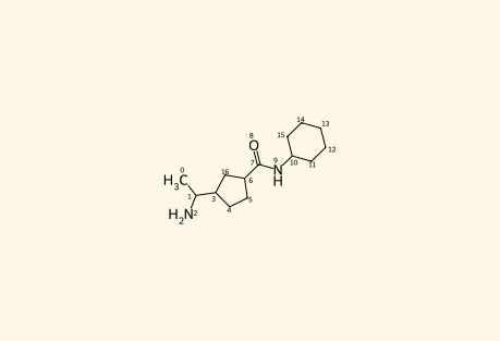 CC(N)C1CCC(C(=O)NC2CCCCC2)C1